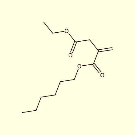 C=C(CC(=O)OCC)C(=O)OCCCCCC